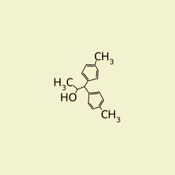 Cc1ccc(C(c2ccc(C)cc2)C(C)O)cc1